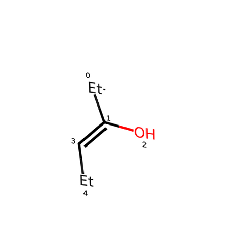 C[CH]C(O)=CCC